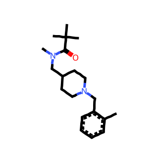 Cc1ccccc1CN1CCC(CN(C)C(=O)C(C)(C)C)CC1